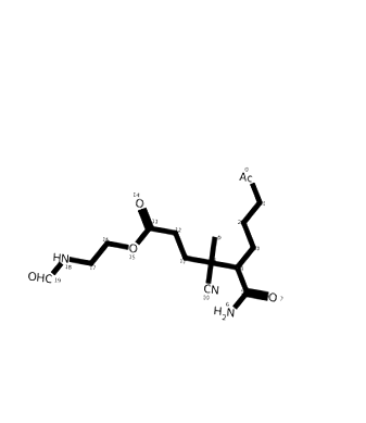 CC(=O)CCCC(C(N)=O)C(C)(C#N)CCC(=O)OCCNC=O